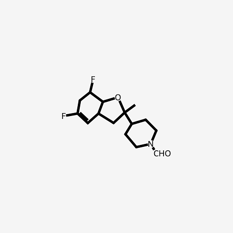 CC1(C2CCN(C=O)CC2)CC2C=C(F)CC(F)C2O1